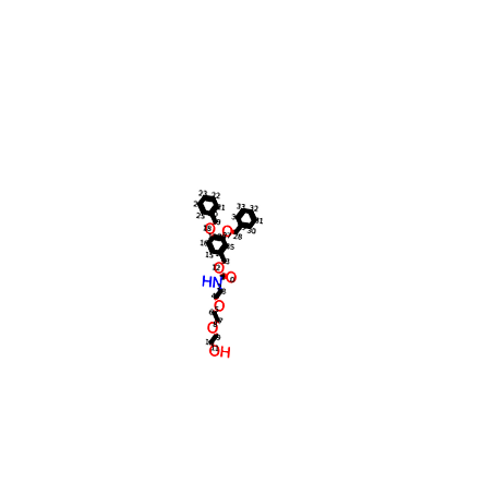 O=C(NCCOCCOCCO)OCc1ccc(OCc2ccccc2)c(OCc2ccccc2)c1